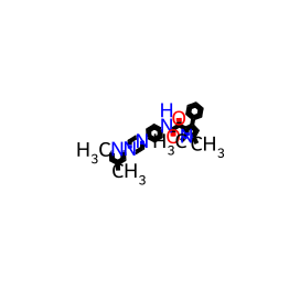 Cc1cc(C)nc(N2CCN(c3ccc(NC(=O)C(=O)c4c(-c5ccccc5)cc(C)n4C)cc3)CC2)c1